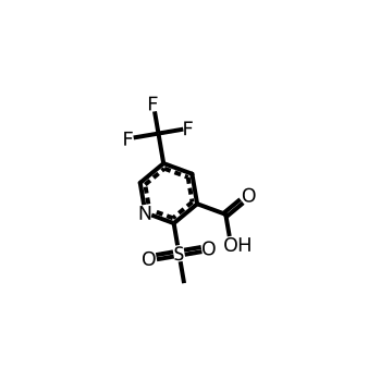 CS(=O)(=O)c1ncc(C(F)(F)F)cc1C(=O)O